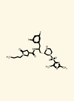 CCCCN1CC(C(=O)NC(Cc2cc(F)cc(F)c2)C[C@H]2CN(S(=O)(=O)c3sc(C)nc3C)CCN2)CC1=O